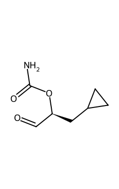 NC(=O)O[C@H](C=O)CC1CC1